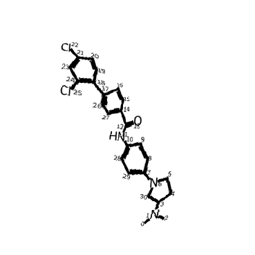 CN(C)C1CCN(c2ccc(NC(=O)c3ccc(-c4ccc(Cl)cc4Cl)cc3)cc2)C1